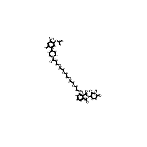 Cc1cc(N)c(OC(C)C)cc1C1CCN(C(=O)CCOCCOCCOCCOCCNc2cccc3c2C(=O)N(C2CCC(=O)NC2=O)C3=O)CC1